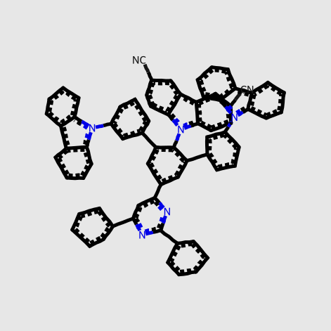 N#Cc1ccc2c(c1)c1cc(C#N)ccc1n2-c1c(-c2cccc(-n3c4ccccc4c4ccccc43)c2)cc(-c2cc(-c3ccccc3)nc(-c3ccccc3)n2)cc1-c1cccc(-n2c3ccccc3c3ccccc32)c1